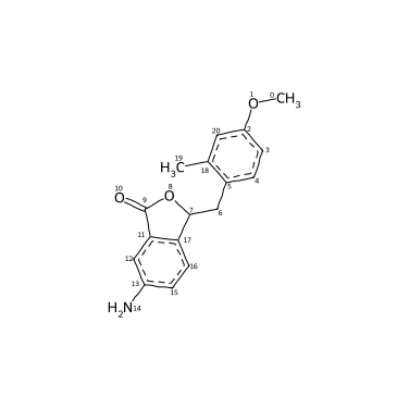 COc1ccc(CC2OC(=O)c3cc(N)ccc32)c(C)c1